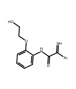 CC(=O)C(=N)C(=O)Nc1ccccc1OCCO